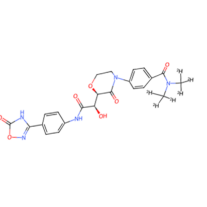 [2H]C([2H])([2H])N(C(=O)c1ccc(N2CCO[C@H]([C@@H](O)C(=O)Nc3ccc(-c4noc(=O)[nH]4)cc3)C2=O)cc1)C([2H])([2H])[2H]